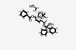 C[C@H](C/C=C\C(OC(=O)c1ccccc1)[C@H]1OC(C)(C)O[C@H]1CCO)O[Si](c1ccccc1)(c1ccccc1)C(C)(C)C